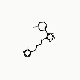 CN1CCC=C(c2nsnc2SCCSc2cccs2)C1